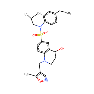 CCc1ccc(N(CC(C)C)S(=O)(=O)c2ccc3c(c2)C(O)CCN3Cc2cnoc2C)cc1